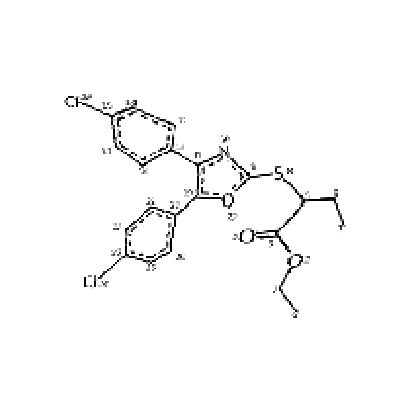 CCOC(=O)C(CC)Sc1nc(-c2ccc(Cl)cc2)c(-c2ccc(Cl)cc2)o1